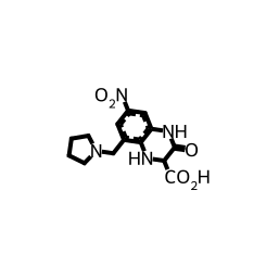 O=C(O)C1Nc2c(CN3CCCC3)cc([N+](=O)[O-])cc2NC1=O